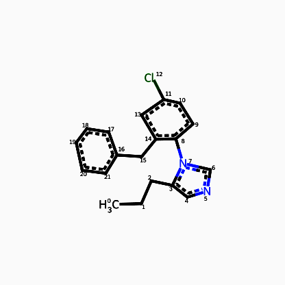 CCCc1cncn1-c1ccc(Cl)cc1Cc1ccccc1